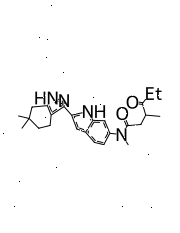 CCC(=O)C(C)CC(=O)N(C)c1ccc2cc(-c3n[nH]c4c3CCC(C)(C)C4)[nH]c2c1